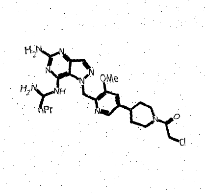 CCCC(N)Nc1nc(N)nc2cnn(Cc3ncc(C4CCN(C(=O)CCl)CC4)cc3OC)c12